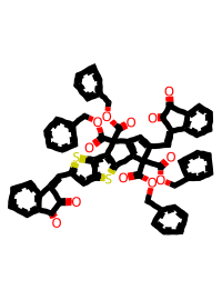 O=C1C(=O)c2ccccc2/C1=C/C1=CC2=C(c3sc4cc(/C=C5\C(=O)C(=O)c6ccccc65)sc4c3C2(C(=O)OCc2ccccc2)C(=O)OCc2ccccc2)C1(C(=O)OCc1ccccc1)C(=O)OCc1ccccc1